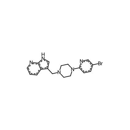 Brc1ccc(N2CCN(Cc3c[nH]c4ncccc34)CC2)nc1